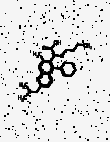 CCCCOC(C(=O)O)c1c(C)cc2nc(CN(C)C)ccc2c1C1=CCCCC1